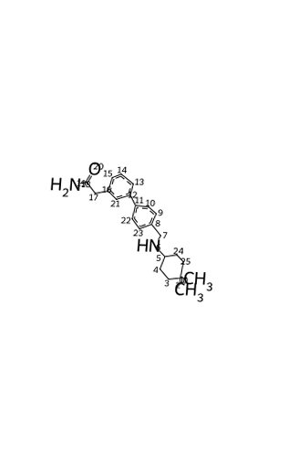 CC1(C)CCC(NCc2ccc(-c3cccc(CC(N)=O)c3)cc2)CC1